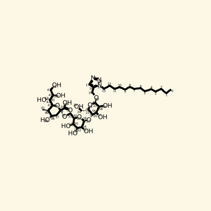 CCCCCCCCCCCCCCn1nncc1CO[C@@H]1O[C@@H](CO)[C@@H](O[C@@H]2OC(CO[C@]3(C(=O)O)C[C@@H](O)[C@@H](C)C([C@H](O)[C@H](O)CO)O3)[C@H](O)[C@H](O)C2O)C(O)C1O